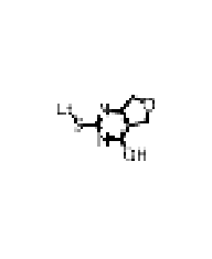 CCSc1nc(O)c2c(n1)COC2